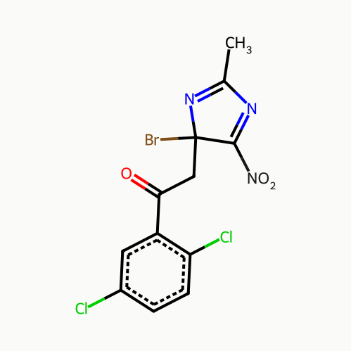 CC1=NC(Br)(CC(=O)c2cc(Cl)ccc2Cl)C([N+](=O)[O-])=N1